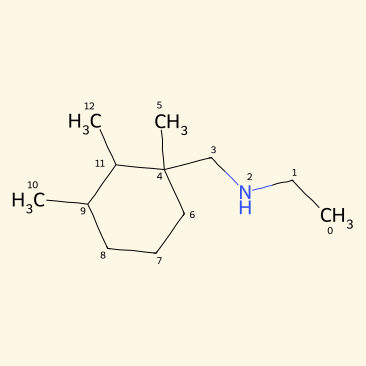 CCNCC1(C)CCCC(C)C1C